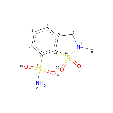 CN1Cc2cccc(S(N)(=O)=O)c2S1(=O)=O